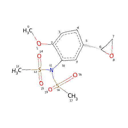 COc1ccc([C@@H]2CO2)cc1N(S(C)(=O)=O)S(C)(=O)=O